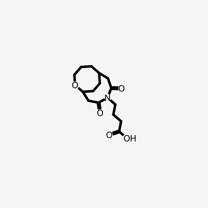 O=C(O)CCCN1C(=O)CC2CCCOC(CC2)CC1=O